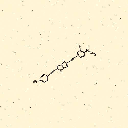 CCCc1ccc(C#Cc2cc3sc(C#Cc4ccc(N=C=S)c(F)c4)cc3s2)cc1